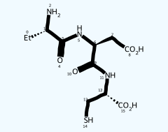 CC[C@H](N)C(=O)N[C@@H](CC(=O)O)C(=O)N[C@@H](CS)C(=O)O